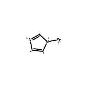 CCn1[c]ncc1